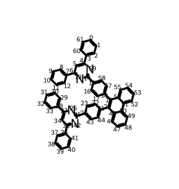 c1ccc(-c2cc(-c3ccccc3)nc(-c3ccc(-c4c(-c5ccc(-c6nc(-c7ccccc7)cc(-c7ccccc7)n6)cc5)c5ccccc5c5ccccc45)cc3)n2)cc1